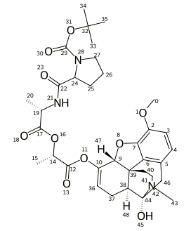 COc1ccc2c3c1O[C@H]1C(OC(=O)[C@H](C)OC(=O)[C@H](C)NC(=O)C4CCCN4C(=O)OC(C)(C)C)=CC[C@H]4[C@@]31CCN(C)[C@@]4(O)C2